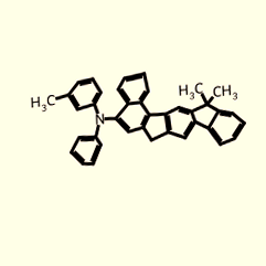 Cc1cccc(N(c2ccccc2)c2cc3c(c4ccccc24)-c2cc4c(cc2C3)-c2ccccc2C4(C)C)c1